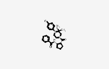 CC1(C)CN(C(=O)[C@@H]2CCC[C@@H]2NC(=O)c2ccccc2)CCN1c1ccc(Cl)cc1